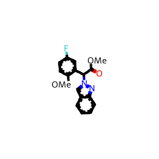 COC(=O)C(c1cc(F)ccc1OC)n1cc2ccccc2n1